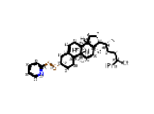 CC[C@H](CC[C@@H](C)[C@H]1CC[C@H]2[C@@H]3CC=C4C[C@@H](SSc5ccccn5)CC[C@]4(C)[C@H]3CC[C@]12C)C(C)C